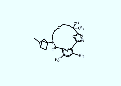 CC1CC2(N3CCCCC[C@](O)(C(F)(F)F)c4nnc(o4)-c4nc(c(C(F)(F)F)cc4N)C3=O)CC1C2